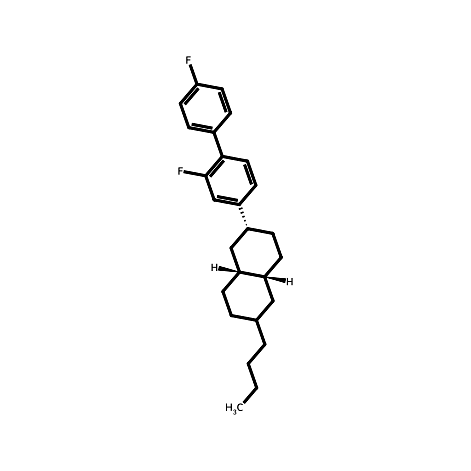 CCCCC1CC[C@@H]2C[C@H](c3ccc(-c4ccc(F)cc4)c(F)c3)CC[C@@H]2C1